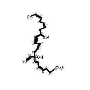 CC/C=C\C/C=C\CC(O)/C=C\C=C/C[C@@](O)(/C=C/C=C\CCC(=O)O)CI